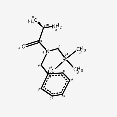 C[C@@H](N)C(=O)N(Cc1ccccc1)C[Si](C)(C)C